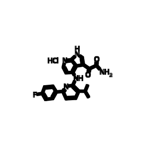 CC(C)c1ccc(-c2ccc(F)cc2)nc1Nc1ccnc2[nH]cc(C(=O)C(N)=O)c12.Cl